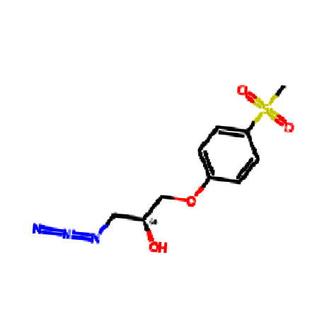 CS(=O)(=O)c1ccc(OC[C@@H](O)CN=[N+]=[N-])cc1